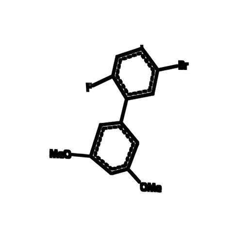 COc1cc(OC)cc(-c2cc(Br)[c]cc2F)c1